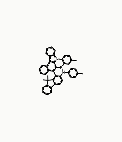 Cc1ccc(N2B3c4cc(C)ccc4-n4c5ccccc5c5c6ccccc6c(c3c54)-c3c2ccc2c3C(C)(C)c3ccccc3-2)cc1